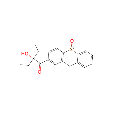 CCC(O)(CC)C(=O)c1ccc2c(c1)Cc1ccccc1[S+]2[O-]